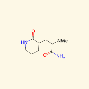 CNC(CC1CCCNC1=O)C(N)=O